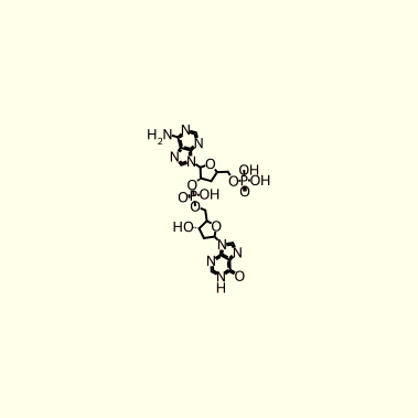 Nc1ncnc2c1ncn2C1OC(COP(=O)(O)O)C[C@H]1OP(=O)(O)OCC1OC(n2cnc3c(=O)[nH]cnc32)C[C@@H]1O